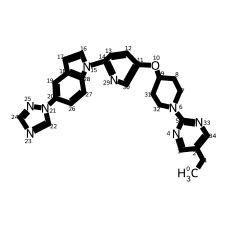 CCc1cnc(N2CCC(Oc3ccc(-n4ccc5cc(-n6cncn6)ccc54)nc3)CC2)nc1